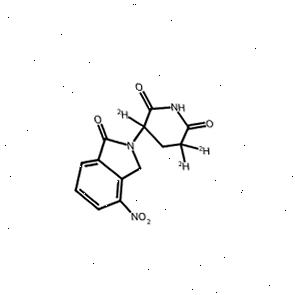 [2H]C1([2H])CC([2H])(N2Cc3c(cccc3[N+](=O)[O-])C2=O)C(=O)NC1=O